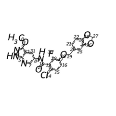 COc1n[nH]c2ncc(NC(=O)c3c(Cl)ccc(OCc4ccc5c(c4)OCO5)c3F)cc12